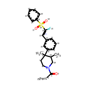 CCCCCC(=O)N1CCC(C)(c2cccc(/C=C(\F)S(=O)(=O)c3ccccc3)c2)C(C)C1